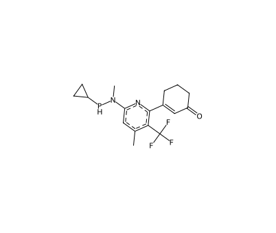 Cc1cc(N(C)PC2CC2)nc(C2=CC(=O)CCC2)c1C(F)(F)F